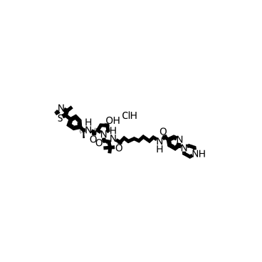 Cc1ncsc1-c1ccc([C@H](C)NC(=O)[C@@H]2C[C@@H](O)CN2C(=O)[C@@H](NC(=O)CCCCCCCNC(=O)c2ccc(N3CCNCC3)nc2)C(C)(C)C)cc1.Cl